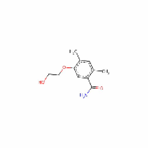 Cc1cc(C)c(C(N)=O)cc1OCCO